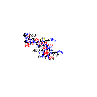 CC(C)C[C@H](NC(=O)[C@H](CCC(=O)O)NC(=O)[C@H](CCC(=O)O)NC(=O)[C@H](CO)NC(=O)[C@@H](NC(=O)[C@H](CCCCN)NC(=O)[C@H](CS)NC(=O)[C@H](CC(N)=O)NC(=O)[C@@H]1CCCN1C(=O)[C@H](CO)NC(=O)[C@@H]1CCCN1C(=O)[C@H](CC(=O)O)NC(=O)[C@@H]1CCCN1)C(C)C)C(=O)N[C@@H](CC(=O)O)C(=O)N[C@@H](CO)C(=O)N[C@@H](CCCCN)C(=O)O